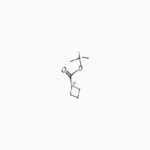 CC(C)(C)OC(=O)[C@H]1[CH]CC1